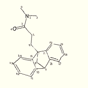 CN(C)C(=O)CCC12CC(c3ccccc31)c1ccccc12